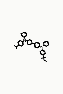 CCC(C)(C)c1ccc(N(c2ccccc2)c2ccc(-c3ccc(N(c4ccccc4)c4ccc(C(C)C)cc4)cc3)cc2)cc1